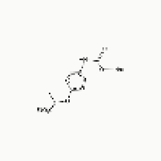 CCOC(=O)C(C)Oc1ccc(NC(=O)OC(C)(C)C)cc1